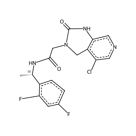 C[C@H](NC(=O)CN1Cc2c(Cl)cncc2NC1=O)c1ccc(F)cc1F